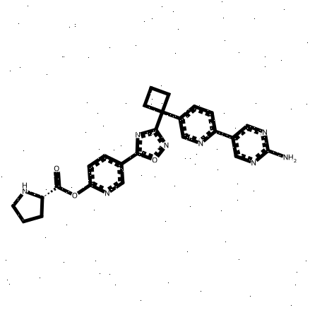 Nc1ncc(-c2ccc(C3(c4noc(-c5ccc(OC(=O)[C@@H]6CCCN6)nc5)n4)CCC3)cn2)cn1